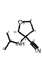 CC(C)NC1(C#N)CCOC1